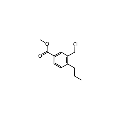 CCCc1ccc(C(=O)OC)cc1CCl